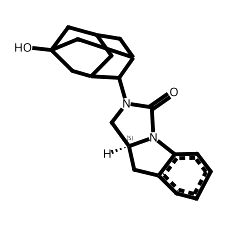 O=C1N(C2C3CC4CC2CC(O)(C4)C3)C[C@@H]2Cc3ccccc3N12